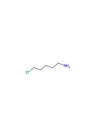 N[CH]CCCCCl